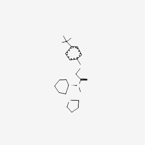 CN(C(=O)COc1ccc(C(C)(C)C)cc1)[C@@H]1CCCC[C@H]1N1CCCC1